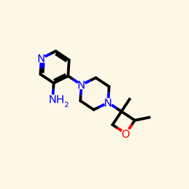 CC1OCC1(C)N1CCN(c2ccncc2N)CC1